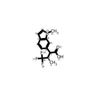 C[C@H](C(C(=O)O)c1ccc2ccn(C)c2c1)C(F)(F)F